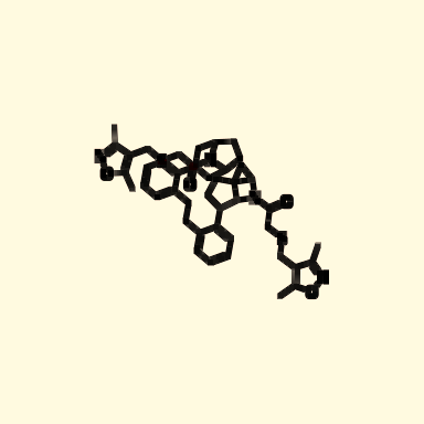 Cc1noc(C)c1CSCC(=O)N1C2CCC1CC(c1ccccc1CCc1ccccc1C1CCC34CC3N(C(=O)CSCc3c(C)noc3C)C14)C2